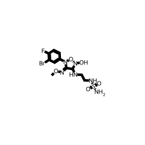 CO/N=C1/C(NCCNS(N)(=O)=O)N(O)ON1c1ccc(F)c(Br)c1